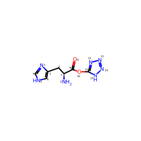 N[C@@H](Cc1c[nH]cn1)C(=O)Oc1nnn[nH]1